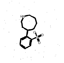 O=S(=O)(Cl)c1ccccc1C1CCCCNCC1